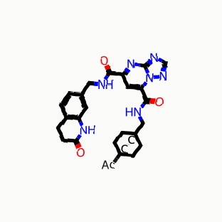 CC(=O)C12CCC(CNC(=O)c3cc(C(=O)NCc4ccc5c(c4)NC(=O)CC5)nc4ncnn34)(CC1)CC2